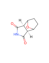 O=C1NC(=O)[C@H]2C3CCC(O3)[C@@H]12